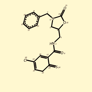 O=C(NCC1CN(Cc2ccccc2)C(=O)O1)C1=CC(Cl)=CCC1=S